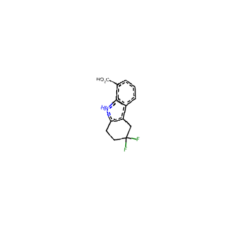 O=C(O)c1cccc2c3c([nH]c12)CCC(F)(F)C3